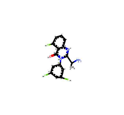 CC(N)c1nc2cccc(F)c2c(=O)n1-c1cc(F)cc(F)c1